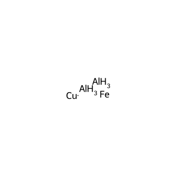 [AlH3].[AlH3].[Cu].[Fe]